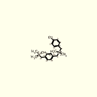 CCc1ccc(C[N+](C)(C)Cc2ccc(C[N+](C)(C)C)cc2)cc1